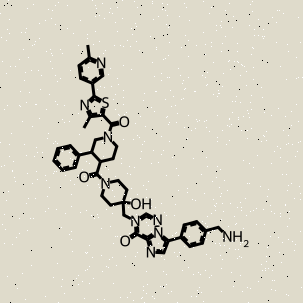 Cc1ccc(-c2nc(C)c(C(=O)N3CCC(C(=O)N4CCC(O)(Cn5cnn6c(-c7ccc(CN)cc7)cnc6c5=O)CC4)C(c4ccccc4)C3)s2)cn1